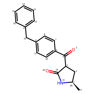 C[C@@H]1CC(C(=O)c2ccc(Cc3ccccc3)cc2)C(=O)N1